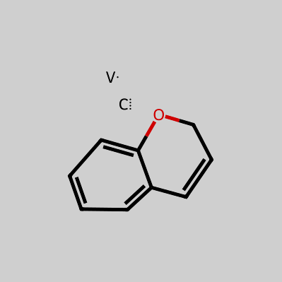 C1=Cc2ccccc2OC1.[C].[V]